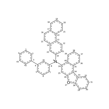 c1ccc(-c2cccc(N(c3ccc4c(ccc5ccccc54)c3)c3cc4oc5ccccc5c4c4ccccc34)c2)cc1